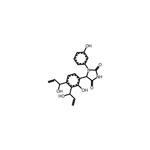 C=CC(O)c1ccc(C2C(=O)NC(=O)N2c2cccc(O)c2)c(O)c1C(O)C=C